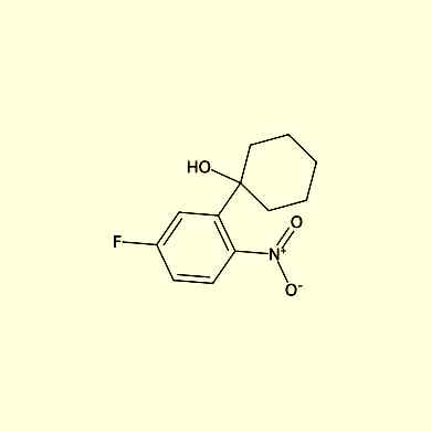 O=[N+]([O-])c1ccc(F)cc1C1(O)CCCCC1